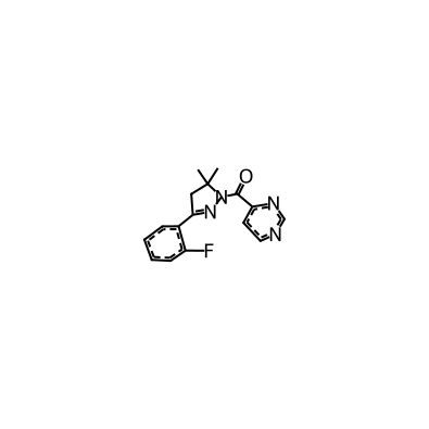 CC1(C)CC(c2ccccc2F)=NN1C(=O)c1ccncn1